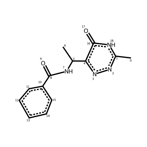 Cc1nnc(C(C)NC(=O)c2ccccc2)c(=O)[nH]1